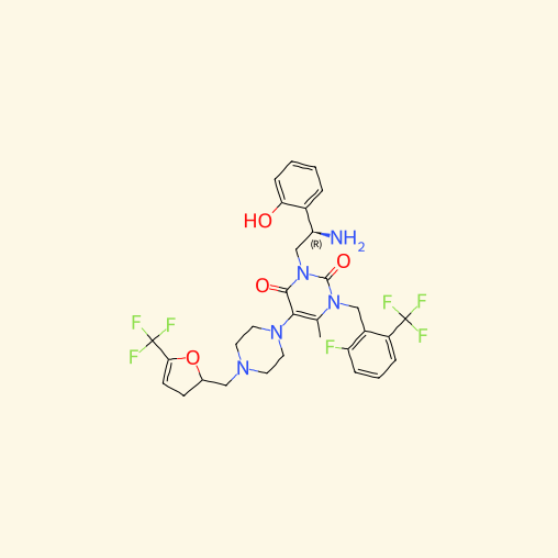 Cc1c(N2CCN(CC3CC=C(C(F)(F)F)O3)CC2)c(=O)n(C[C@H](N)c2ccccc2O)c(=O)n1Cc1c(F)cccc1C(F)(F)F